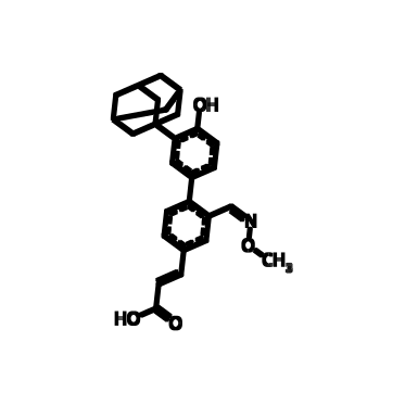 CO/N=C\c1cc(/C=C/C(=O)O)ccc1-c1ccc(O)c(C23CC4CC(CC(C4)C2)C3)c1